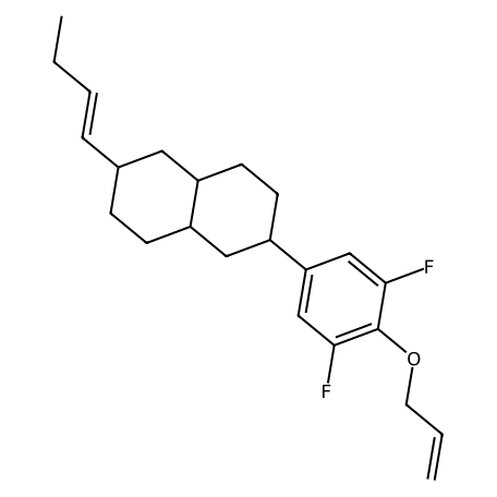 C=CCOc1c(F)cc(C2CCC3CC(C=CCC)CCC3C2)cc1F